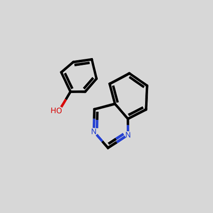 Oc1ccccc1.c1ccc2ncncc2c1